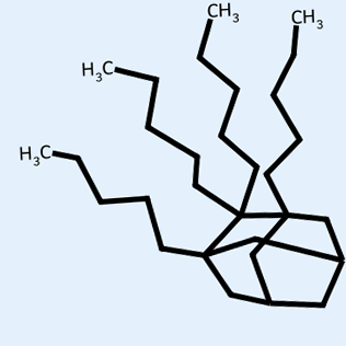 CCCCCC12CC3CC(C1)CC(CCCCC)(C3)C2(CCCCC)CCCCC